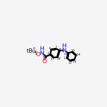 CC(C)(C)ONC(=O)c1ccc(Nc2ccccc2)cc1